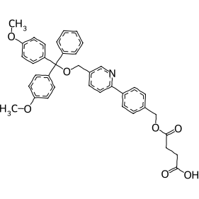 COc1ccc(C(OCc2ccc(-c3ccc(COC(=O)CCC(=O)O)cc3)nc2)(c2ccccc2)c2ccc(OC)cc2)cc1